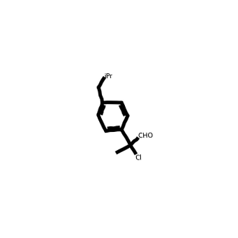 CC(C)Cc1ccc(C(C)(Cl)C=O)cc1